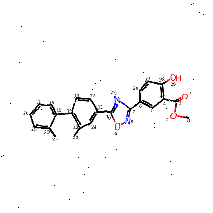 COC(=O)c1cc(-c2noc(-c3ccc(-c4ccccc4C)c(C)c3)n2)ccc1O